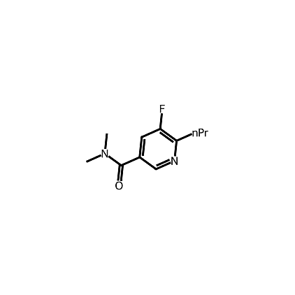 CCCc1ncc(C(=O)N(C)C)cc1F